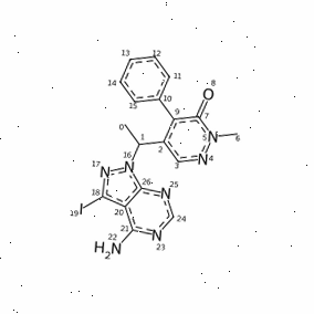 CC(c1cnn(C)c(=O)c1-c1ccccc1)n1nc(I)c2c(N)ncnc21